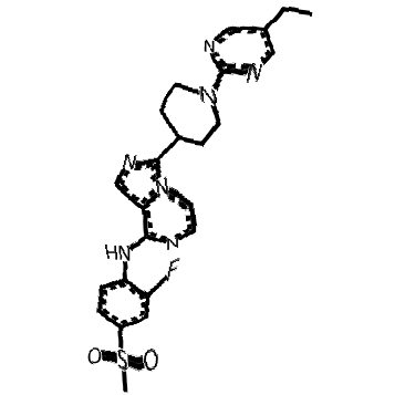 CCc1cnc(N2CCC(c3ncc4c(Nc5ccc(S(C)(=O)=O)cc5F)nccn34)CC2)nc1